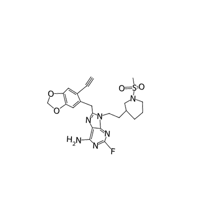 C#Cc1cc2c(cc1Cc1nc3c(N)nc(F)nc3n1CCC1CCCN(S(C)(=O)=O)C1)OCO2